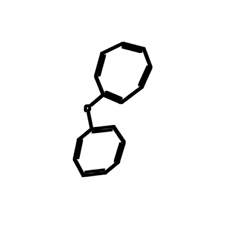 C1=CC=CC(OC2=CC=CC=CC=C2)=CC=C1